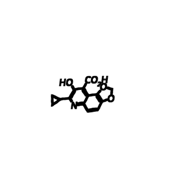 O=C(O)c1c(O)c(C2CC2)nc2ccc3c(c12)OCO3